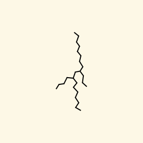 CCCCCCCCC(CCC)CC(CCCC)CCCCCCC